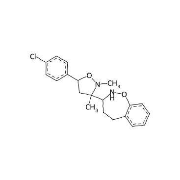 CN1OC(c2ccc(Cl)cc2)CC1(C)C1CCc2ccccc2ON1